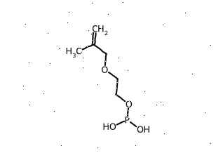 C=C(C)COCCOP(O)O